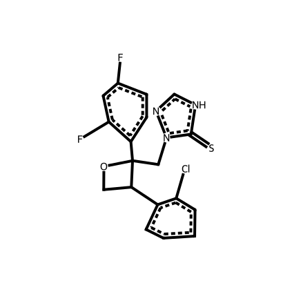 Fc1ccc(C2(Cn3nc[nH]c3=S)OCC2c2ccccc2Cl)c(F)c1